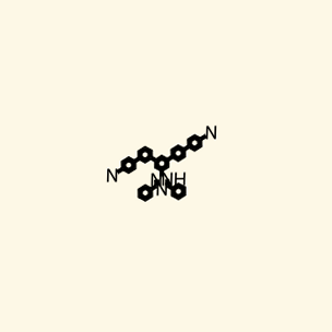 N#Cc1ccc(-c2ccc(-c3cc(-c4cccc(-c5ccc(C#N)cc5)c4)cc(C4N=C(c5ccccc5)N=C(c5ccccc5)N4)c3)cc2)cc1